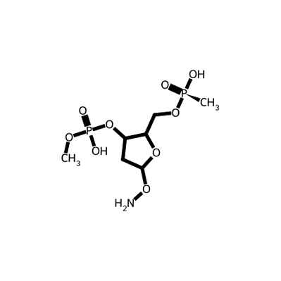 COP(=O)(O)OC1CC(ON)OC1CO[P@](C)(=O)O